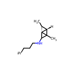 CC(C)CCCNC1C2(C)[C@H]3C(C)[C@]132